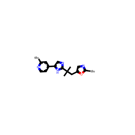 CC(C)(C)c1cc(-c2cnc(C(C)(C)Cc3cnc(C(C)(C)C)o3)[nH]2)ccn1